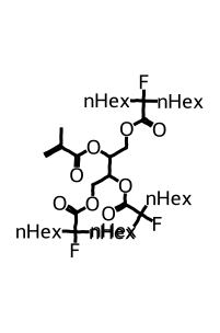 C=C(C)C(=O)OC(COC(=O)C(F)(CCCCCC)CCCCCC)C(COC(=O)C(F)(CCCCCC)CCCCCC)OC(=O)C(F)(CCCCCC)CCCCCC